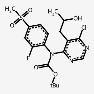 CC(O)Cc1c(Cl)ncnc1N(C(=O)OC(C)(C)C)c1ccc(S(C)(=O)=O)cc1F